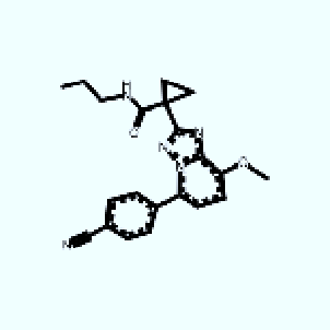 CCCNC(=O)C1(c2nc3c(OC)ccc(-c4ccc(C#N)cc4)n3n2)CC1